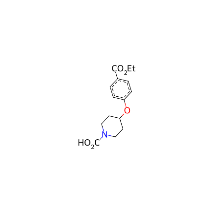 CCOC(=O)c1ccc(OC2CCN(C(=O)O)CC2)cc1